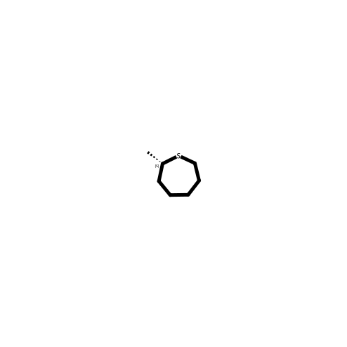 C[C@H]1CCCCCS1